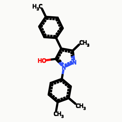 Cc1ccc(-c2c(C)nn(-c3ccc(C)c(C)c3)c2O)cc1